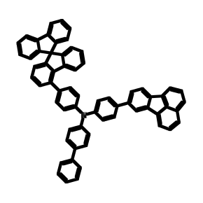 c1ccc(-c2ccc(N(c3ccc(-c4ccc5c(c4)-c4cccc6cccc-5c46)cc3)c3ccc(-c4cccc5c4-c4ccccc4C54c5ccccc5-c5ccccc54)cc3)cc2)cc1